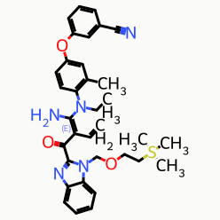 C=C/C(C(=O)c1nc2ccccc2n1COCCS(C)(C)C)=C(/N)N(CC)c1ccc(Oc2cccc(C#N)c2)cc1C